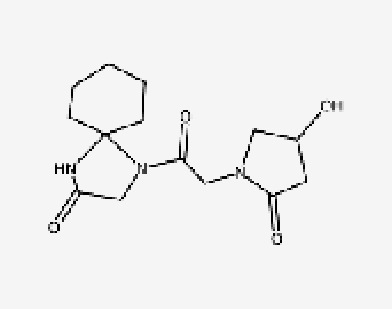 O=C1CN(C(=O)CN2CC(O)CC2=O)C2(CCCCC2)N1